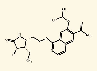 CC[C@H]1[C@@H](CCOc2nccc3cc(C(N)=O)c(OC(C)C)cc23)NC(=O)[C@@H]1F